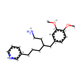 COc1ccc(CC(CCN)CCCc2cccnc2)cc1OC